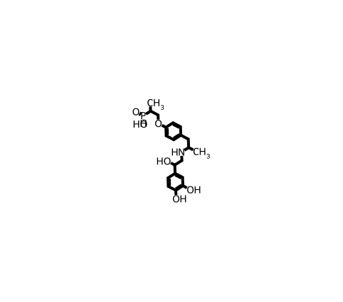 CC(Cc1ccc(OCC(C)[PH](=O)O)cc1)NCC(O)c1ccc(O)c(O)c1